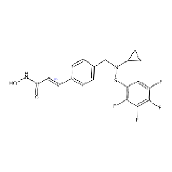 O=C(/C=C/c1ccc(CN(Sc2cc(F)c(F)c(F)c2F)C2CC2)cc1)NO